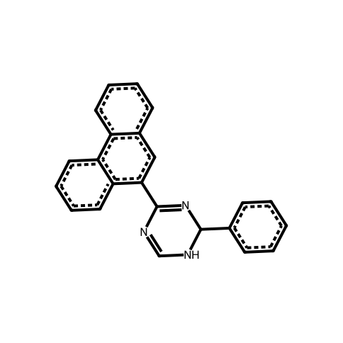 C1=NC(c2cc3ccccc3c3ccccc23)=NC(c2ccccc2)N1